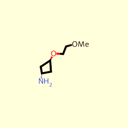 COCCO[C@H]1C[C@H](N)C1